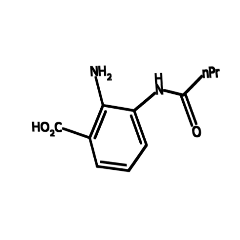 CCCC(=O)Nc1cccc(C(=O)O)c1N